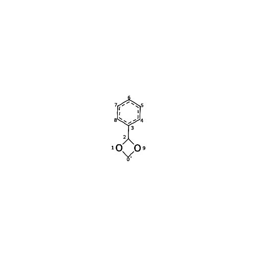 [CH]1OC(c2ccccc2)O1